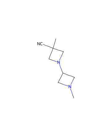 CN1CC(N2CC(C)(C#N)C2)C1